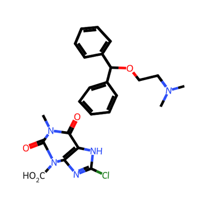 CN(C)CCOC(c1ccccc1)c1ccccc1.Cn1c(=O)c2[nH]c(Cl)nc2n(C(=O)O)c1=O